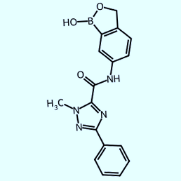 Cn1nc(-c2ccccc2)nc1C(=O)Nc1ccc2c(c1)B(O)OC2